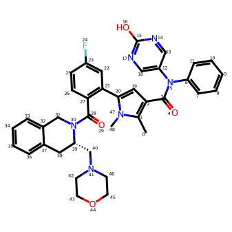 Cc1c(C(=O)N(c2ccccc2)c2cnc(O)nc2)cc(-c2cc(F)ccc2C(=O)N2Cc3ccccc3C[C@H]2CN2CCOCC2)n1C